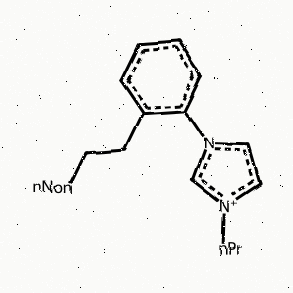 CCCCCCCCCCCc1ccccc1-n1cc[n+](CCC)c1